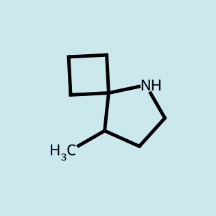 CC1CCNC12CCC2